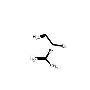 C=C(C)Br.C=CCBr